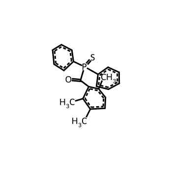 Cc1ccc(C)c(C(=O)P(=S)(c2ccccc2)c2ccccc2)c1C